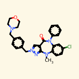 CN1c2ccc(Cl)cc2N(c2ccccc2)C(=O)c2cn(Cc3ccc(CN4CCOCC4)cc3)nc21